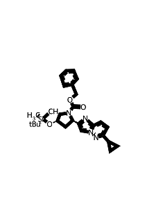 CC(C)(C)[Si](C)(C)O[C@H]1C[C@H](c2cn3nc(C4CC4)ccc3n2)N(C(=O)OCc2ccccc2)C1